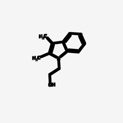 Cc1c(C)n(CCO)c2cc[c]cc12